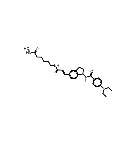 CCN(CC)c1ccc(C(=O)NC2CCc3cc(C=CC(=O)NCCCCCC(=O)NO)ccc32)cc1